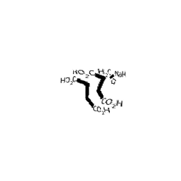 C=O.O=C(O)CCC(=O)O.O=C(O)CCC(=O)O.[NaH]